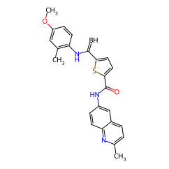 B=C(Nc1ccc(OC)cc1C)c1ccc(C(=O)Nc2ccc3nc(C)ccc3c2)s1